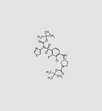 CC(C)(C)OC(=O)N1CC[C@H](Nc2ccc(S(=O)(=O)N(C(=O)OC(C)(C)C)c3cscn3)c(F)c2Cl)C1